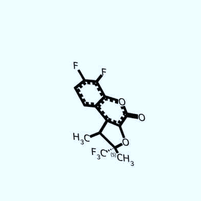 CC1c2c(c(=O)oc3c(F)c(F)ccc23)O[C@]1(C)C(F)(F)F